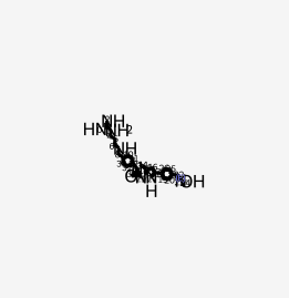 N=C(N)NCCCNCc1ccc(-n2cc3cc(-c4ccc(/C=N/O)cc4)[nH]c3nc2=O)cc1